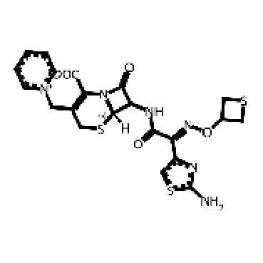 Nc1nc(C(=NOC2CSC2)C(=O)NC2C(=O)N3C(C(=O)[O-])=C(C[n+]4ccccc4)CS[C@@H]23)cs1